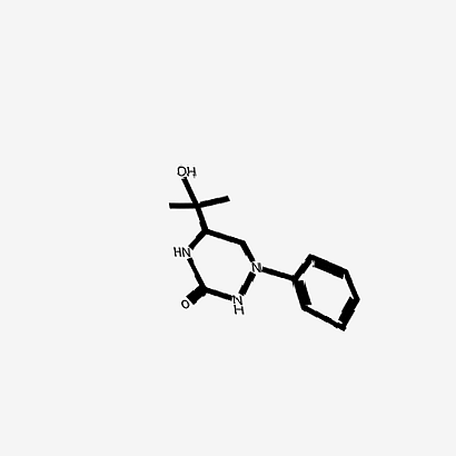 CC(C)(O)C1CN(c2ccccc2)NC(=O)N1